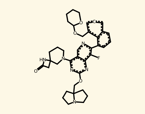 O=C1CC2(CCCN(c3nc(OCC45CCCN4CCC5)nc4c(F)c(-c5cccc6cccc(COC7CCCCO7)c56)ncc34)C2)N1